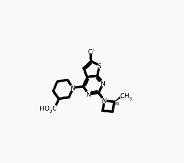 C[C@H]1CCN1c1nc(N2CCCC(C(=O)O)C2)c2cc(Cl)sc2n1